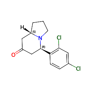 O=C1C[C@@H]2CCCN2[C@@H](c2ccc(Cl)cc2Cl)C1